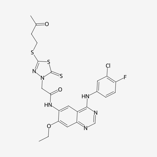 CCOc1cc2ncnc(Nc3ccc(F)c(Cl)c3)c2cc1NC(=O)Cn1nc(SCCC(C)=O)sc1=S